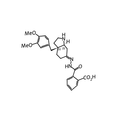 COc1ccc(C[C@@]23CCN[C@H]2CC(=NNC(=O)c2ccccc2C(=O)O)CC3)cc1OC